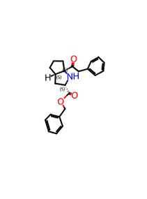 O=C(OCc1ccccc1)[C@@H]1C[C@@H]2CCC[C@]2(C(=O)Cc2ccccc2)N1